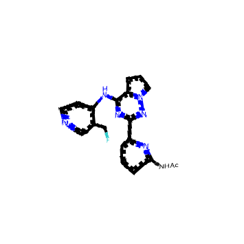 CC(=O)Nc1cccc(-c2nc(Nc3ccncc3CF)c3cccn3n2)n1